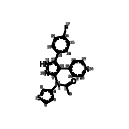 CC(=O)N(c1ccsc1)c1n[nH]c(-c2ccc(F)cc2)c1-c1ccncc1